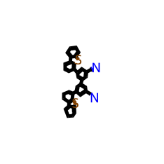 N#Cc1cc(C2=CCCc3c2sc2c3=CCCC=2)cc(-c2cc(C#N)cc(-c3cccc4c3sc3ccccc34)c2)c1